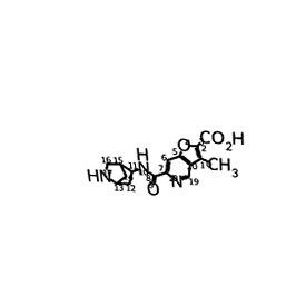 Cc1c(C(=O)O)oc2cc(C(=O)NC3CC4CC3CN4)ncc12